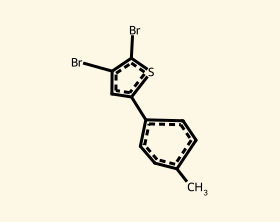 Cc1ccc(-c2cc(Br)c(Br)s2)cc1